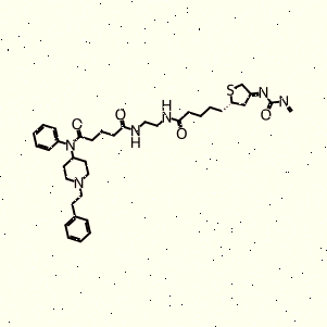 C=NC(=O)/N=C1/CS[C@@H](CCCCC(=O)NCCNC(=O)CCCC(=O)N(c2ccccc2)C2CCN(CCc3ccccc3)CC2)C1